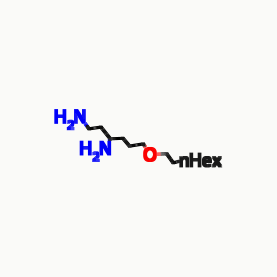 CCCCCCCCOCCCC(N)CCN